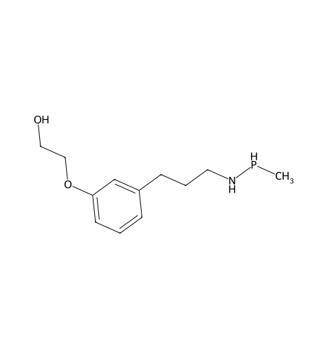 CPNCCCc1cccc(OCCO)c1